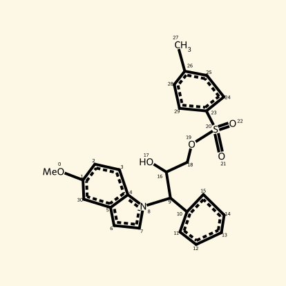 COc1ccc2c(ccn2C(c2ccccc2)C(O)COS(=O)(=O)c2ccc(C)cc2)c1